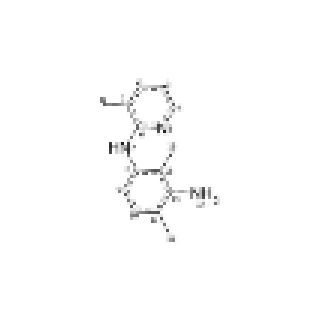 Cc1cccnc1Nc1ccc(C)c(N)c1C